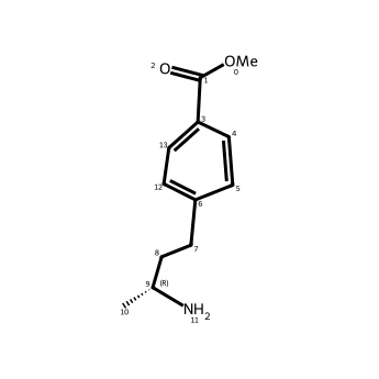 COC(=O)c1ccc(CC[C@@H](C)N)cc1